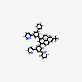 CC(C)(C)c1cc2ccc3c(-c4cc(-c5ccccn5)cc(-c5ccccn5)c4)cc(-c4cc(-c5ccccn5)cc(-c5ccccn5)c4)c4ccc(c1)c2c34